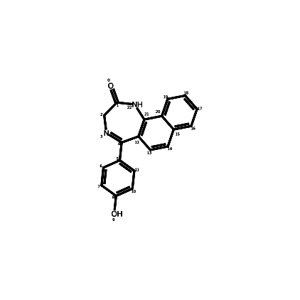 O=C1CN=C(c2ccc(O)cc2)c2ccc3ccccc3c2N1